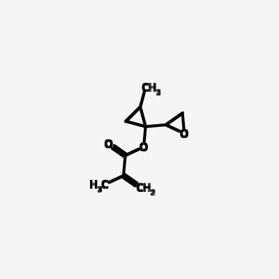 C=C(C)C(=O)OC1(C2CO2)CC1C